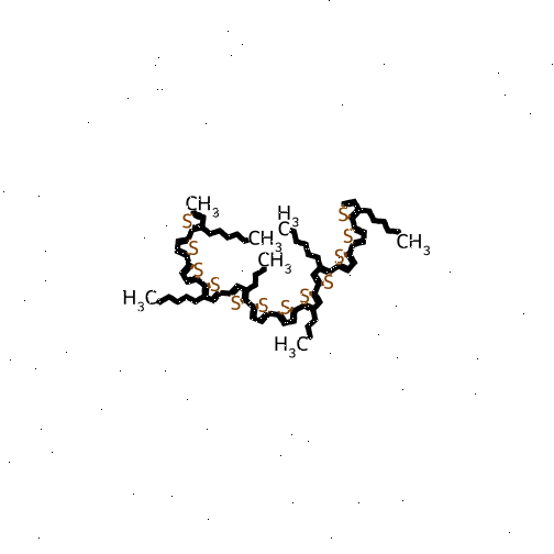 CCCCCCc1ccsc1-c1ccc(-c2ccc(-c3sc(-c4cc(CCCC)c(-c5ccc(-c6ccc(-c7sc(-c8cc(CCCCCC)c(-c9ccc(-c%10ccc(-c%11sc(C)cc%11CCCCCC)s%10)s9)s8)cc7CCCC)s6)s5)s4)cc3CCCCCC)s2)s1